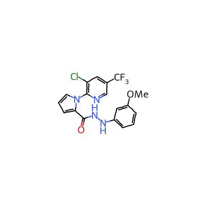 COc1cccc(NNC(=O)c2cccn2-c2ncc(C(F)(F)F)cc2Cl)c1